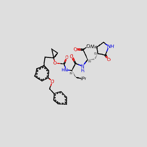 COC(=O)[C@H](C[C@@H]1CCNC1=O)NC(=O)[C@H](CC(C)C)NC(=O)OC1(Cc2cccc(OCc3ccccc3)c2)CC1